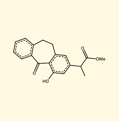 COC(=O)C(C)c1cc(O)c2c(c1)CCc1ccccc1C2=O